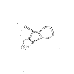 O=C(O)Cn1sc2ccccc2c1=O